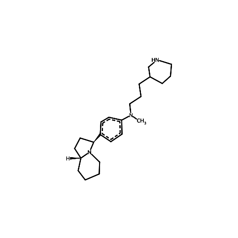 CN(CCCC1CCCNC1)c1ccc([C@@H]2CC[C@H]3CCCCN32)cc1